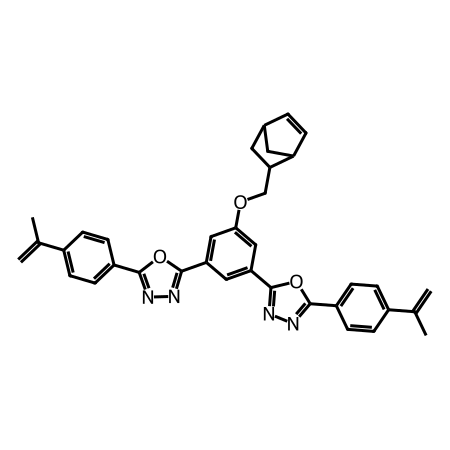 C=C(C)c1ccc(-c2nnc(-c3cc(OCC4CC5C=CC4C5)cc(-c4nnc(-c5ccc(C(=C)C)cc5)o4)c3)o2)cc1